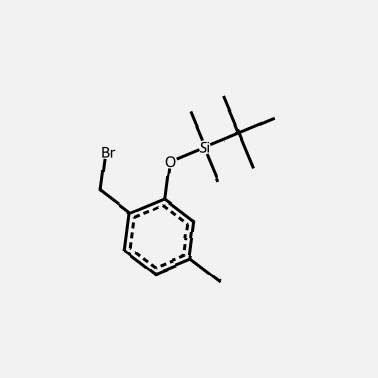 Cc1ccc(CBr)c(O[Si](C)(C)C(C)(C)C)c1